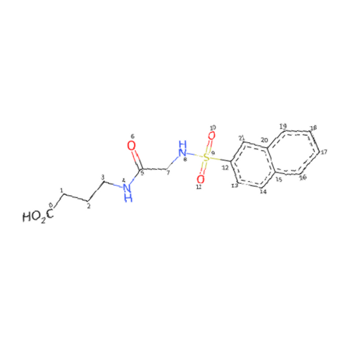 O=C(O)CCCNC(=O)CNS(=O)(=O)c1ccc2ccccc2c1